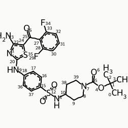 CC(C)(C)OC(=O)N1CCC(NS(=O)(=O)c2ccc(Nc3nc(N)c(C(=O)c4c(F)cccc4F)s3)cc2)CC1